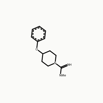 CNC(=N)N1CCC(Oc2ccccc2)CC1